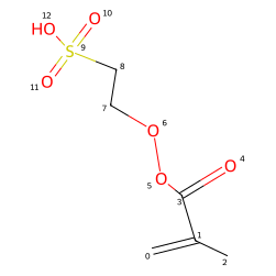 C=C(C)C(=O)OOCCS(=O)(=O)O